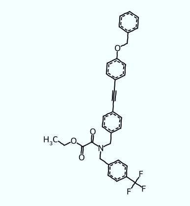 CCOC(=O)C(=O)N(Cc1ccc(C#Cc2ccc(OCc3ccccc3)cc2)cc1)Cc1ccc(C(F)(F)F)cc1